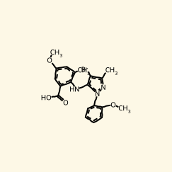 COc1cc(C)c(Nc2c(Br)c(C)nn2-c2ccccc2OC)c(C(=O)O)c1